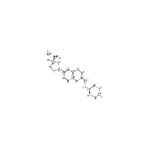 N[C@]1(CO)CCC(c2ccc3c(c2)CCC(OCC2CCOCC2)C3)C1